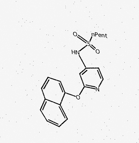 CCCCCS(=O)(=O)Nc1ccnc(Oc2cccc3ccccc23)c1